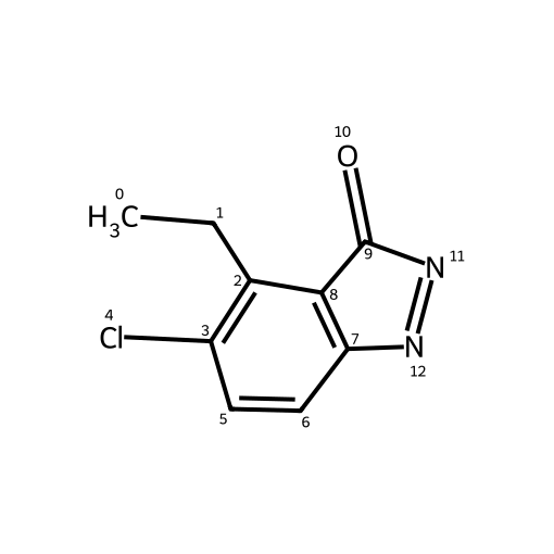 CCc1c(Cl)ccc2c1C(=O)N=N2